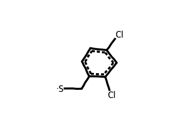 [S]Cc1ccc(Cl)cc1Cl